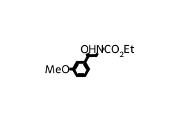 CCOC(=O)NCC(=O)c1cccc(OC)c1